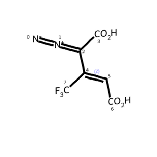 [N-]=[N+]=C(C(=O)O)/C(=C/C(=O)O)C(F)(F)F